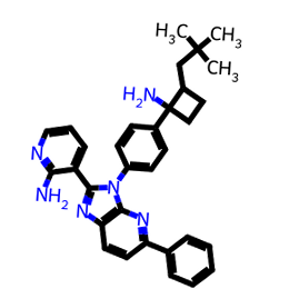 CC(C)(C)CC1CCC1(N)c1ccc(-n2c(-c3cccnc3N)nc3ccc(-c4ccccc4)nc32)cc1